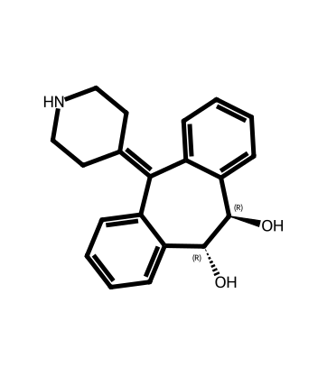 O[C@@H]1c2ccccc2C(=C2CCNCC2)c2ccccc2[C@H]1O